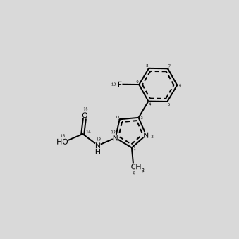 Cc1nc(-c2ccccc2F)cn1NC(=O)O